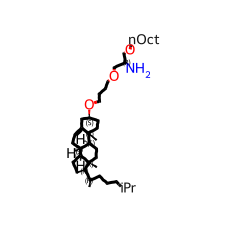 CCCCCCCCOC[C@@H](N)COCCCCO[C@H]1CC[C@@]2(C)C(=CC[C@H]3[C@@H]4CC[C@H]([C@H](C)CCCC(C)C)[C@@]4(C)CC[C@@H]32)C1